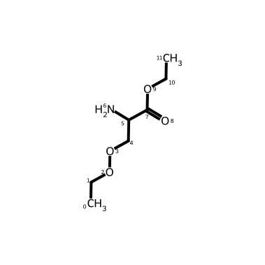 CCOOCC(N)C(=O)OCC